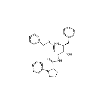 O=C(N[C@@H](Cc1ccccc1)[C@H](O)CNC(=O)[C@@H]1CCCN1c1ccccc1)OCc1ccccc1